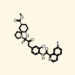 COC(=O)[C@H]1CC[C@H](OC(F)(C(=O)Cc2ccc(NC(=O)c3nccc4ccc(F)cc34)c(Cl)c2)N2CCCC2)CC1